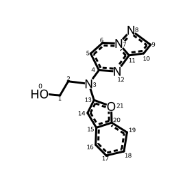 OCCN(c1ccn2nccc2n1)c1cc2ccccc2o1